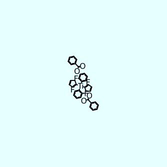 O=C(Oc1ccc(F)[c]([Ti]([C]2=CC=CC2)([C]2=CC=CC2)[c]2c(F)ccc(OC(=O)c3ccccc3)c2F)c1F)c1ccccc1